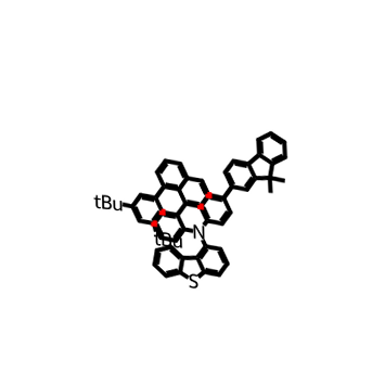 CC(C)(C)c1cc(-c2cccc3cccc(-c4ccccc4N(c4ccc(-c5ccc6c(c5)C(C)(C)c5ccccc5-6)cc4)c4cccc5sc6ccccc6c45)c23)cc(C(C)(C)C)c1